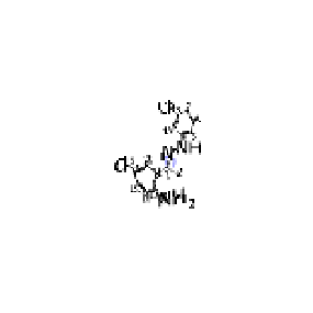 C/C(=N\Nc1cccc(Cl)c1)c1cc(Cl)ccc1N